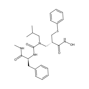 CNC(=O)[C@H](Cc1ccccc1)NC(=O)N(CC(C)C)C[C@H](CSc1ccccc1)C(=O)NO